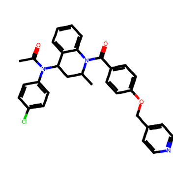 CC(=O)N(c1ccc(Cl)cc1)C1CC(C)N(C(=O)c2ccc(OCc3ccncc3)cc2)c2ccccc21